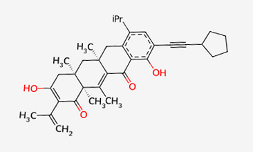 C=C(C)C1=C(O)C[C@@]2(C)C[C@@]3(C)Cc4c(C(C)C)cc(C#CC5CCCC5)c(O)c4C(=O)C3=C(C)[C@@]2(C)C1=O